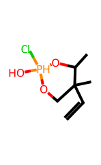 C=CC1(C)CO[PH](O)(Cl)OC1C